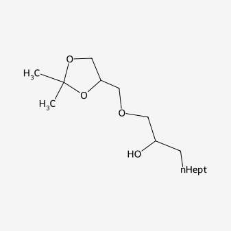 CCCCCCCCC(O)COCC1COC(C)(C)O1